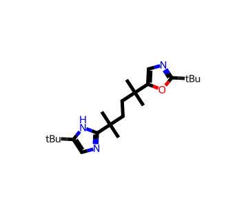 CC(C)(C)c1cnc(C(C)(C)CCC(C)(C)c2cnc(C(C)(C)C)o2)[nH]1